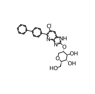 OC[C@H]1OC[C@H](Oc2nc3nc(-c4ccc(-c5ccccc5)cc4)c(Cl)cc3[nH]2)[C@@H](O)[C@@H]1O